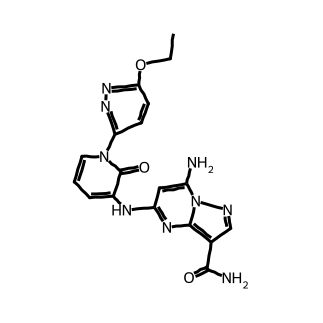 CCOc1ccc(-n2cccc(Nc3cc(N)n4ncc(C(N)=O)c4n3)c2=O)nn1